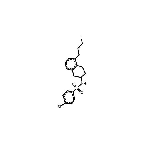 O=S(=O)(NC1CCc2c(CCCI)cccc2C1)c1ccc(Cl)cc1